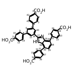 O=C(O)c1ccc(-c2cc(-c3ccc(C(=O)O)cc3)cc(-c3nc4c(-c5ccc(C(=O)O)cc5)ccc(-c5ccc(C(=O)O)cc5)c4[nH]3)c2)cc1